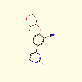 N#Cc1cc(-c2ccnc(N)n2)ccc1OC1CCOCC1F